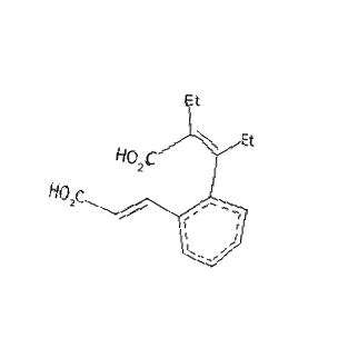 CCC(C(=O)O)=C(CC)c1ccccc1C=CC(=O)O